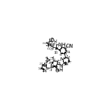 Cc1cc(Nc2nccc(-c3cc(C#N)c4c(c3)[C@@](C)(CO[Si](C)(C)C(C)(C)C)CN4)n2)c(=O)n(Cc2nccn2C2CC2)c1